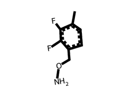 Cc1ccc(CON)c(F)c1F